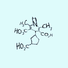 CC1=C(C(=O)O)C([C@H]2CC[C@@H](C(=O)O)C2)C(C(=O)O)=C(C)N1